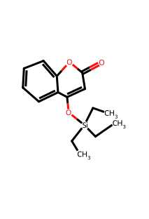 CC[Si](CC)(CC)Oc1cc(=O)oc2ccccc12